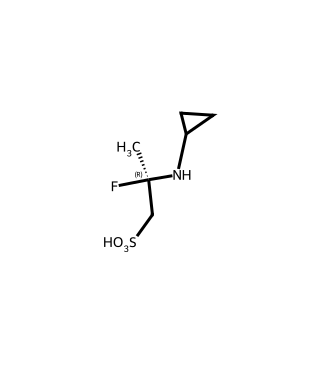 C[C@@](F)(CS(=O)(=O)O)NC1CC1